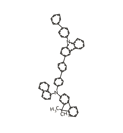 CC1(C)c2ccccc2-c2ccc(N(c3ccc(-c4ccc(-c5ccc6c(c5)c5ccccc5n6-c5ccc(-c6ccccc6)cc5)cc4)cc3)c3cccc4ccccc34)cc21